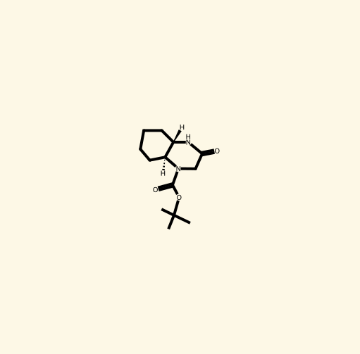 CC(C)(C)OC(=O)N1CC(=O)N[C@H]2CCCC[C@@H]21